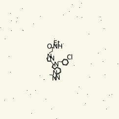 CCNC(=O)CCn1ccc(-c2cc3c(ccc4nnc(C)n43)n2Cc2cccc(Cl)c2)n1